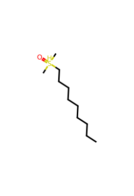 CCCCCCCCC[SH](C)(C)=O